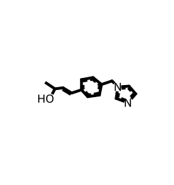 CC(O)C=Cc1ccc(Cn2ccnc2)cc1